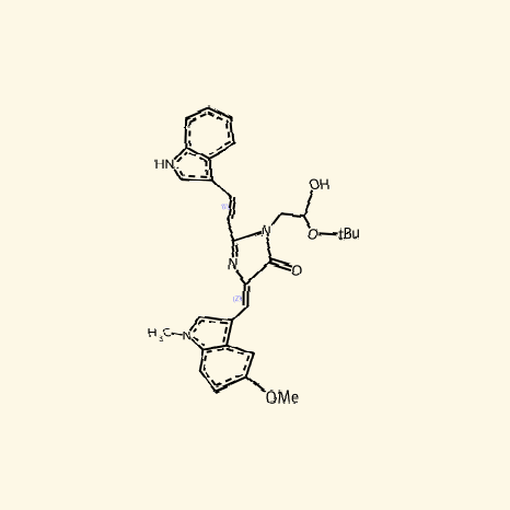 COc1ccc2c(c1)c(/C=C1N=C(/C=C/c3c[nH]c4ccccc34)N(CC(O)OC(C)(C)C)C\1=O)cn2C